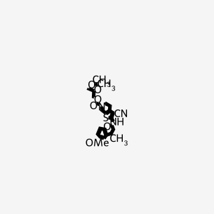 COc1ccccc1[C@@H](C)CC(=O)Nc1sc2c(c1C#N)CCN(C(=O)OCC1COC(C)(C)O1)C2